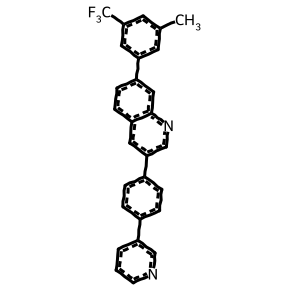 Cc1cc(-c2ccc3cc(-c4ccc(-c5cccnc5)cc4)cnc3c2)cc(C(F)(F)F)c1